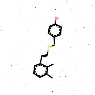 Cc1cccc(C=CSCc2ccc(Br)cc2)c1C